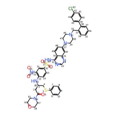 O=C(C[C@H](CSc1ccccc1)Nc1ccc(S(=O)(=O)Nc2ncnc3cc(N4CCN(Cc5ccccc5-c5ccc(Cl)cc5)CC4)ccc23)cc1[N+](=O)[O-])N1CCOCC1